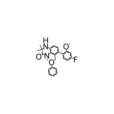 COc1cc(F)ccc1-c1ccc2c(c1COc1ccccc1)N(C)C(=O)C(C)(C)N2